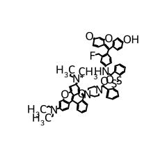 CCN(CC)c1ccc2c(-c3ccccc3C(=O)N3CCN(C(=O)c4ccccc4SSc4ccccc4C(=O)Nc4ccc(-c5c6ccc(=O)cc-6oc6cc(O)ccc56)c(CF)c4)CC3)c3ccc(=[N+](CC)CC)cc-3oc2c1